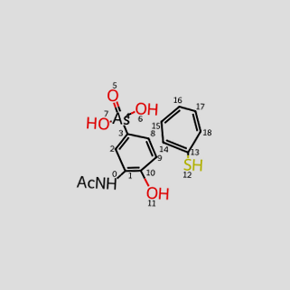 CC(=O)Nc1cc([As](=O)(O)O)ccc1O.Sc1ccccc1